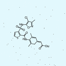 CC1=CC(=CC(=O)O)CC(C)=C1NC(=O)c1sccc1S(=O)(=O)Nc1onc(C)c1Cl